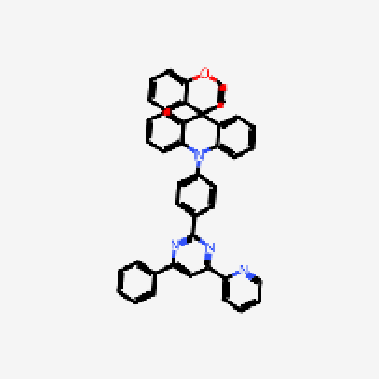 c1ccc(-c2cc(-c3ccccn3)nc(-c3ccc(N4c5ccccc5C5(c6ccccc6Oc6ccccc65)c5ccccc54)cc3)n2)cc1